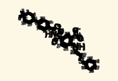 CC1(C)CCC(c2ccc(C(=O)NS(=O)(=O)c3ccc(NCCSc4ccccc4)c([N+](=O)[O-])c3)cc2)CC1